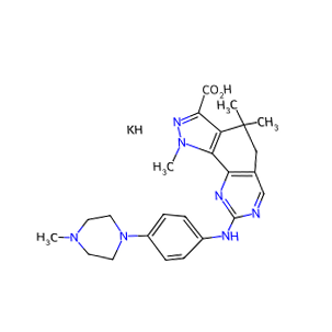 CN1CCN(c2ccc(Nc3ncc4c(n3)-c3c(c(C(=O)O)nn3C)C(C)(C)C4)cc2)CC1.[KH]